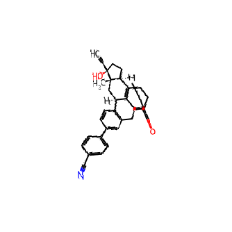 C#C[C@]1(O)CC[C@H]2C3=C4[C@H](C[C@@]21C)c1ccc(-c2ccc(C#N)cc2)cc1C[C@@]41CCC(=O)C=C1CC3